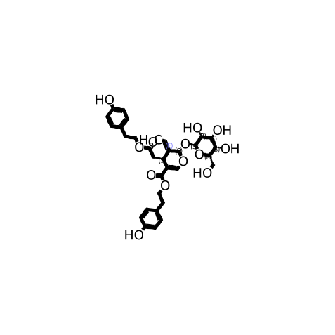 C/C=C1/[C@H](O[C@@H]2O[C@H](CO)[C@@H](O)[C@H](O)[C@H]2O)OC=C(C(=O)OCCc2ccc(O)cc2)[C@H]1CC(=O)OCCc1ccc(O)cc1